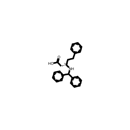 O=C(O)C[C@H](CCc1ccccc1)NC(c1ccccc1)c1ccccc1